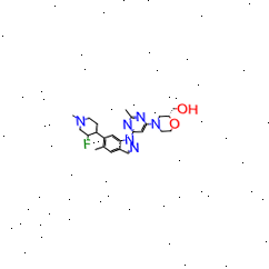 Cc1nc(N2CCO[C@@H](CO)C2)cc(-n2ncc3cc(C)c(C4CCN(C)CC4F)cc32)n1